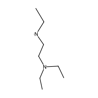 CC[N]CCN(CC)CC